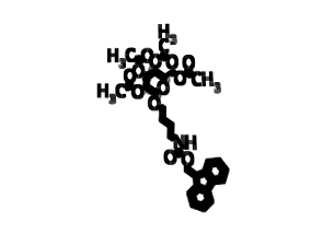 CC(=O)OC[C@H]1O[C@H](OCCCCNC(=O)OCC2c3ccccc3-c3ccccc32)[C@@H](OC(C)=O)[C@@H](OC(C)=O)[C@@H]1OC(C)=O